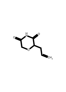 C=CCC1OCC(=O)NC1=O